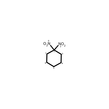 O=[N+]([O-])C1([N+](=O)[O-])CCCCC1